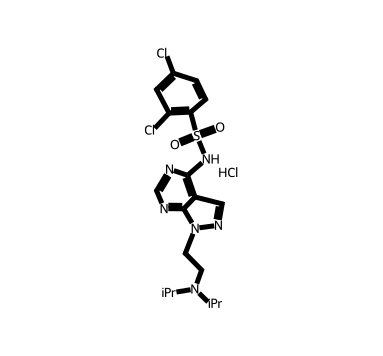 CC(C)N(CCn1ncc2c(NS(=O)(=O)c3ccc(Cl)cc3Cl)ncnc21)C(C)C.Cl